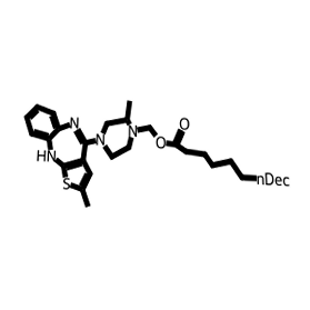 CCCCCCCCCCCCCCCC(=O)OCN1CCN(C2=Nc3ccccc3Nc3sc(C)cc32)CC1C